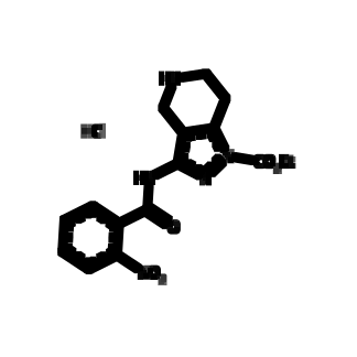 CCOC(=O)n1nc(NC(=O)c2ccccc2[N+](=O)[O-])c2c1CCNC2.Cl